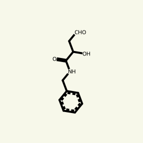 O=CCC(O)C(=O)NCc1ccccc1